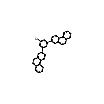 Clc1cc(-c2ccc3c(ccc4ccccc43)c2)cc(-c2ccc3c(ccc4ccccc43)c2)c1